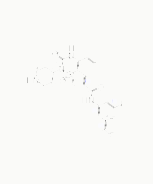 C=CC1=C(/C=C/C(=O)NC(/C=C/F)=C/C(F)=C/F)S(=O)(=O)N(C2CCNCC2)C(=O)N1